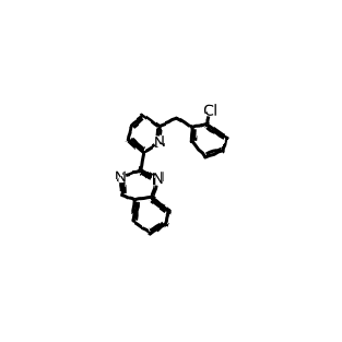 Clc1ccccc1Cc1cccc(-c2ncc3ccccc3n2)n1